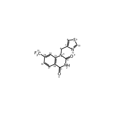 O=c1[nH]c(=O)n(Cc2cscn2)c2cc(C(F)(F)F)ccc12